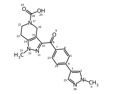 Cn1cc(-c2ccc(C(=O)c3nn(C)c4c3CN(C(=O)O)CC4)cc2)cn1